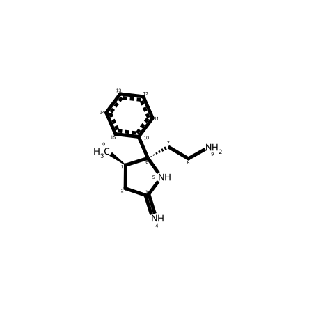 C[C@@H]1CC(=N)N[C@]1(CCN)c1ccccc1